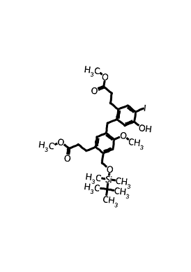 COC(=O)CCc1cc(Cc2cc(O)c(I)cc2CCC(=O)OC)c(OC)cc1CO[Si](C)(C)C(C)(C)C